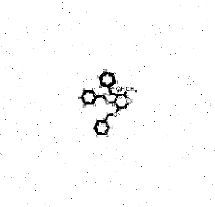 CC1OCC(OCc2ccccc2)C(OCc2ccccc2)[C@@]1(O)Cc1ccccc1